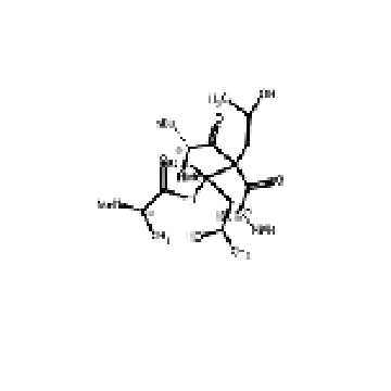 CCCC[C@@H](NC)C(=O)C(CC(C)O)(C(=O)[C@H](NC)[C@@H](C)CC)C(CC(C)O)(OC(=O)[C@@H](C)NC)C(=O)O